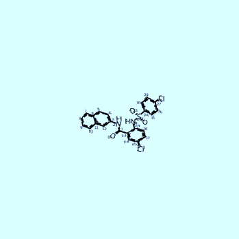 O=C(Nc1ccc2ccccc2c1)c1cc(Cl)ccc1NS(=O)(=O)c1ccc(Cl)cc1